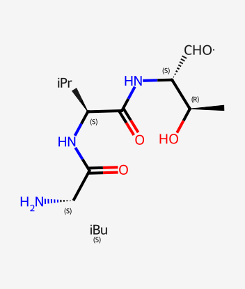 CC[C@H](C)[C@H](N)C(=O)N[C@H](C(=O)N[C@H]([C]=O)[C@@H](C)O)C(C)C